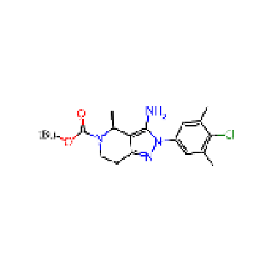 Cc1cc(-n2nc3c(c2N)[C@H](C)N(C(=O)OC(C)(C)C)CC3)cc(C)c1Cl